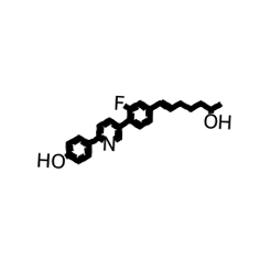 CC(O)CCCC=Cc1ccc(-c2ccc(-c3ccc(O)cc3)nc2)c(F)c1